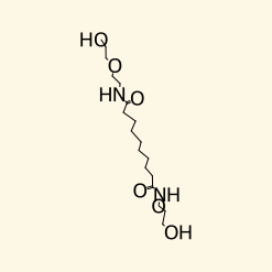 O=C(CCCCCCCCC(=O)NOCCO)NCCOCCO